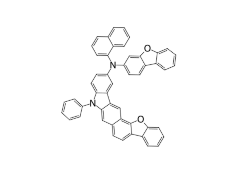 c1ccc(-n2c3ccc(N(c4ccc5c(c4)oc4ccccc45)c4cccc5ccccc45)cc3c3cc4c(ccc5c6ccccc6oc45)cc32)cc1